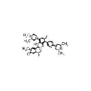 C[C@H]1CN(c2ncc(-c3c(F)cc(N4CCN(C)[C@@H](C)C4)c(NC(=O)c4cn(C)c(=O)cc4C(F)F)c3F)cn2)C[C@H](C)O1